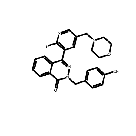 N#Cc1ccc(Cn2nc(-c3cc(CN4CCOCC4)cnc3F)c3ccccc3c2=O)cc1